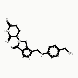 NCc1ccc(OCc2scc3c2CN(C2CCC(=O)NC2=O)C3=O)cc1